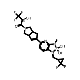 CN1c2nc(C3=CC4CN(C(=O)[C@H](O)C(F)(F)F)CC4C3)ccc2N(CC2CC2(F)F)S1(O)O